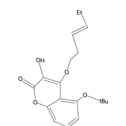 CC/C=C/CCOc1c(O)c(=O)oc2cccc(OC(C)(C)C)c12